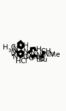 CNC(C)C(=O)NC(C(=O)N1CCCC1C(=O)Nc1cc2c(N(C)c3ccccc3)ncnc2cc1OC)C(C)(C)C.Cl